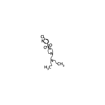 CCCN(CCC)CCN1CCN(S(=O)(=O)c2ccc(Cl)nc2)CC1